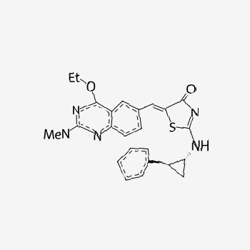 CCOc1nc(NC)nc2ccc(/C=C3\SC(N[C@@H]4C[C@H]4c4ccccc4)=NC3=O)cc12